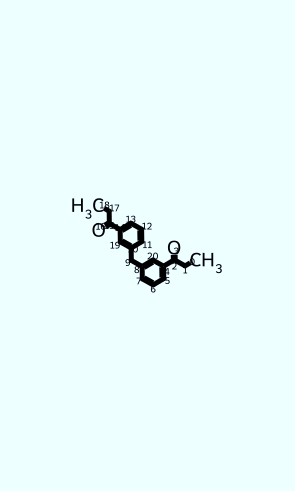 CCC(=O)c1cccc(Cc2cccc(C(=O)CC)c2)c1